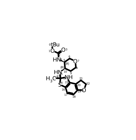 CC(C)(C)OC(=O)N[C@H]1COCC[C@H]1NC1(C)Nc2c(ccc3c2CCO3)S1